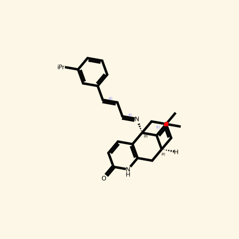 C/C=C1\[C@H]2C=C(C)C[C@]1(/N=C/C=C/c1cccc(C(C)C)c1)c1ccc(=O)[nH]c1C2